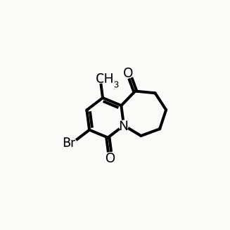 Cc1cc(Br)c(=O)n2c1C(=O)CCCC2